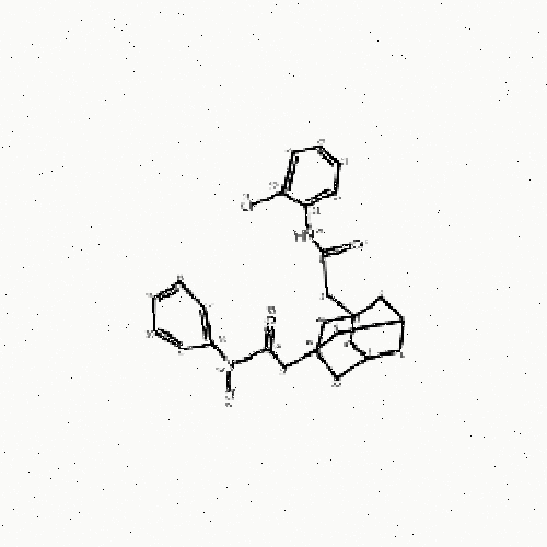 O=C(CC12CC3CC(C1)CC(CC(=O)N(Cl)c1ccccc1)(C3)C2)Nc1ccccc1Cl